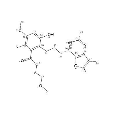 COCCOC(=O)c1c(C)c(OC)cc(O)c1CSC[C@H](NC(C)=S)c1nc(C)no1